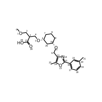 COCC(CO[C@@H]1CCC[C@H](OCc2nc(-c3cccc(C)c3)oc2C)C1)C(=O)O